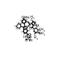 CCn1nc(C)c(C2=Cc3cc(OC)ccc3-c3c(C4CCCCC4)c4ccc(C(=O)NS(=O)(=O)C(C)C)cc4n3C2)c1C(=O)N1C[C@@H](C)N(C)[C@@H](C)C1